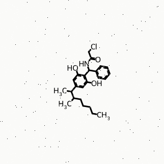 CCCCCC(C)C(C)c1cc(O)c(C(NC(=O)CCl)c2ccccc2)c(O)c1